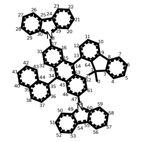 CC1(C)c2ccccc2-c2cccc(-c3c4cc(-n5c6ccccc6c6ccccc65)ccc4c(-c4cccc5ccccc45)c4cc(-n5c6ccccc6c6ccccc65)ccc34)c21